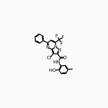 Cc1ccc(O)c(NC(=O)c2nn3c(C(F)(F)F)cc(-c4ccccc4)nc3c2Cl)c1